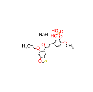 CCCOc1cc2c(cc1C(=O)/C=C/c1ccc(OC)c(OP(=O)(O)O)c1)SCO2.[NaH]